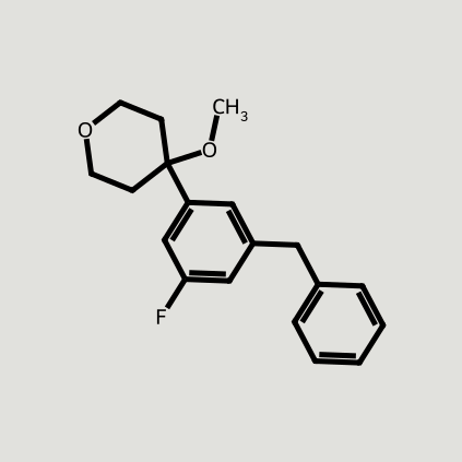 COC1(c2cc(F)cc(Cc3ccccc3)c2)CCOCC1